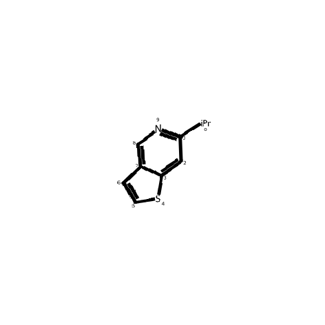 CC(C)c1cc2sccc2cn1